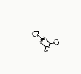 Sc1nc(N2CCCC2)nc(N2CCCC2)n1